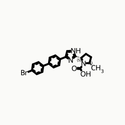 C[C@H]1CC[C@@H](c2nc(-c3ccc(-c4ccc(Br)cc4)cc3)c[nH]2)N1C(=O)O